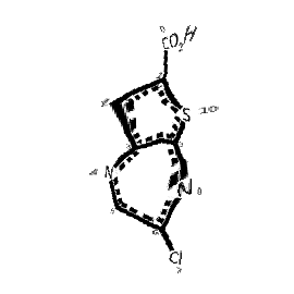 O=C(O)c1cc2ncc(Cl)nc2s1